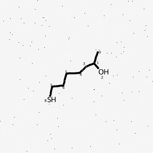 CC(O)CCCCCS